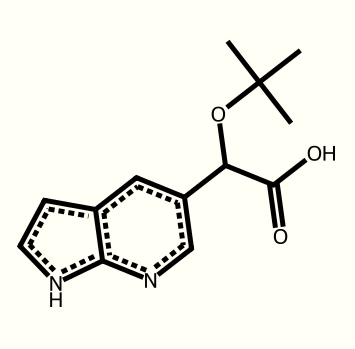 CC(C)(C)OC(C(=O)O)c1cnc2[nH]ccc2c1